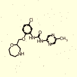 Cc1cnc(NC(=O)Nc2cc(Cl)ccc2OCC2CNCCCO2)cn1